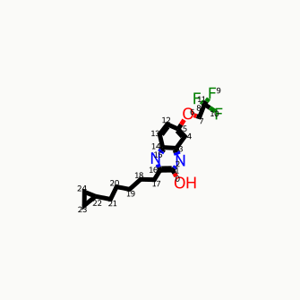 Oc1nc2cc(OCC(F)(F)F)ccc2nc1CCCCCC1CC1